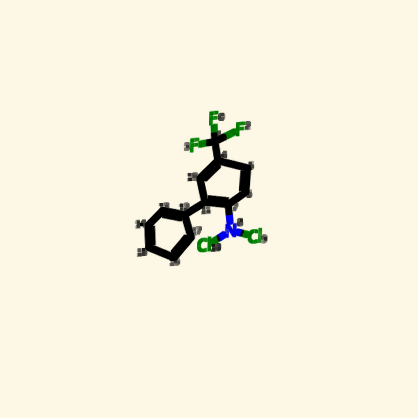 FC(F)(F)c1ccc(N(Cl)Cl)c(-c2ccccc2)c1